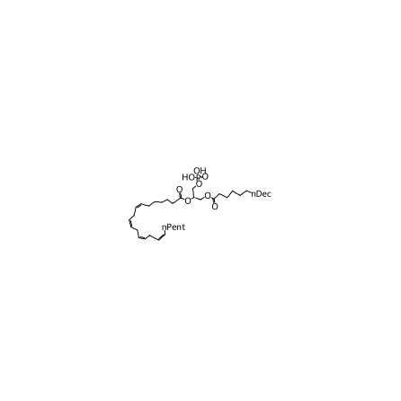 CCCCC/C=C\C/C=C\C/C=C\C/C=C\CCCCCC(=O)O[C@H](COC(=O)CCCCCCCCCCCCCCC)COP(=O)(O)O